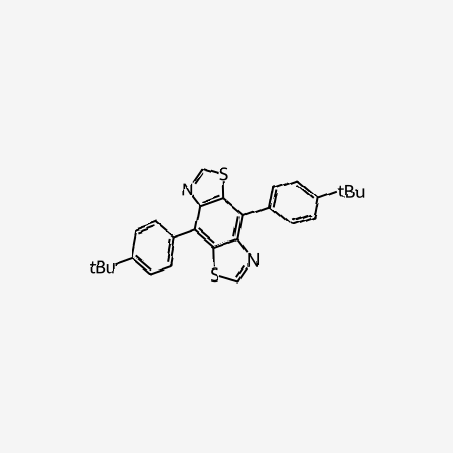 CC(C)(C)c1ccc(-c2c3ncsc3c(-c3ccc(C(C)(C)C)cc3)c3ncsc23)cc1